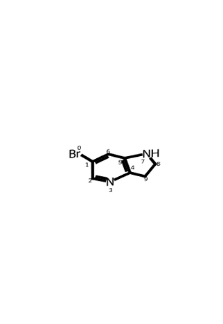 Brc1cnc2c(c1)NCC2